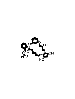 O=C(CCC/C=C\C[C@@H]1[C@@H](/C=C/[C@@H](O)COc2cccc(Cl)c2)[C@H](O)C[C@@H]1O)Oc1ccccc1CO[N+](=O)[O-]